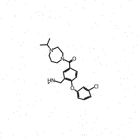 CNCc1cc(C(=O)N2CCCN(C(C)C)CC2)ccc1Oc1cccc(Cl)c1